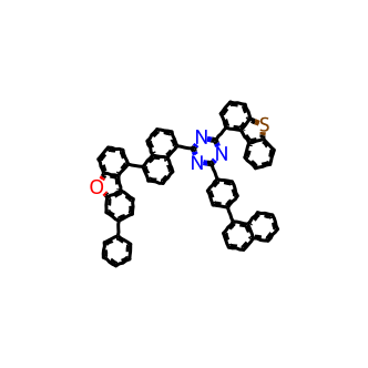 c1ccc(-c2ccc3c(c2)oc2cccc(-c4cccc5c(-c6nc(-c7ccc(-c8cccc9ccccc89)cc7)nc(-c7cccc8sc9ccccc9c78)n6)cccc45)c23)cc1